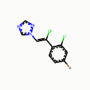 Cl/C(=C\n1cncn1)c1ccc(Br)cc1Cl